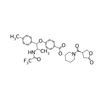 Cc1ccc(C(Oc2ccc(C(=O)O[C@H]3CCCN(C(=O)[C@H]4COC(=O)C4)C3)cc2)C(C)NC(=O)C(F)(F)F)cc1